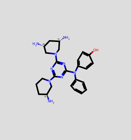 N[C@@H]1C[C@H](N)CN(c2nc(N3CCC[C@H](N)C3)nc(N(c3ccccc3)c3ccc(O)cc3)n2)C1